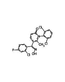 Cc1c(C(=NO)c2ccc(F)cc2Cl)ccc(=O)n1-c1c(Cl)cccc1Cl